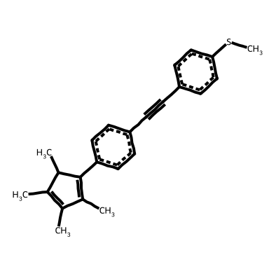 CSc1ccc(C#Cc2ccc(C3=C(C)C(C)=C(C)C3C)cc2)cc1